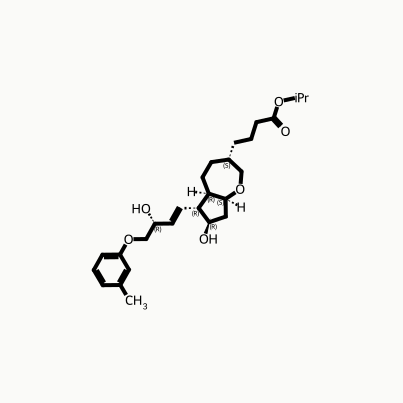 Cc1cccc(OC[C@H](O)C=C[C@@H]2[C@H]3CC[C@H](CCCC(=O)OC(C)C)CO[C@H]3C[C@H]2O)c1